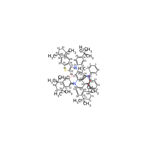 Cc1ccccc1N(c1ccccc1)c1cc2c3c(c1)N(c1ccc(C(C)(C)C)cc1)c1c(sc4cc5c(cc14)C1(C)CCC5(C)CC1)B3c1cc3c(cc1N2c1ccc2c(c1-c1ccccc1)C(C)(C)CCC2(C)C)C(C)(C)CCC3(C)C